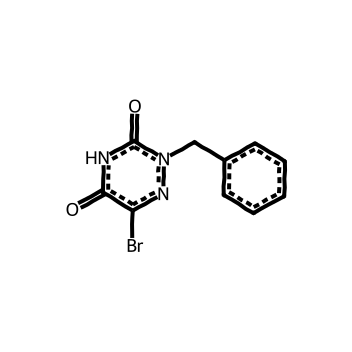 O=c1[nH]c(=O)n(Cc2ccccc2)nc1Br